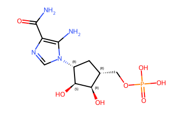 NC(=O)c1ncn([C@@H]2C[C@H](COP(=O)(O)O)[C@@H](O)[C@H]2O)c1N